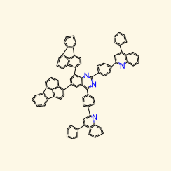 c1ccc(-c2cc(-c3ccc(-c4nc(-c5ccc(-c6cc(-c7ccccc7)c7ccccc7n6)cc5)c5cc(-c6ccc7c8c(cccc68)-c6ccccc6-7)cc(-c6ccc7c8c(cccc68)-c6ccccc6-7)c5n4)cc3)nc3ccccc23)cc1